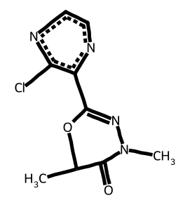 CC1OC(c2nccnc2Cl)=NN(C)C1=O